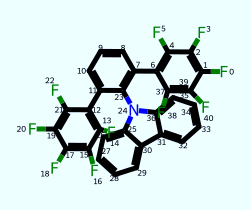 Fc1c(F)c(F)c(-c2cccc(-c3c(F)c(F)c(F)c(F)c3F)c2-n2c3ccccc3c3ccccc32)c(F)c1F